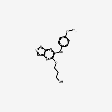 OCCCOc1nc2nonc2nc1Nc1ccc(OC(F)(F)F)cc1